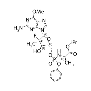 COc1nc(N)nc2c1ncn2[C@@H]1O[C@H](COP(=O)(N[C@H](C)C(=O)OC(C)C)Oc2ccccc2)[C@@H](O)[C@@]1(C)F